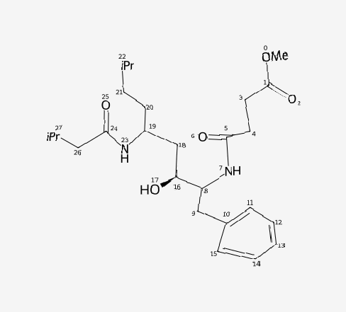 COC(=O)CCC(=O)NC(Cc1ccccc1)[C@@H](O)CC(CCC(C)C)NC(=O)CC(C)C